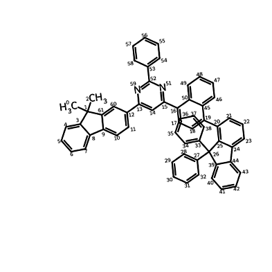 CC1(C)c2ccccc2-c2ccc(-c3cc(-c4ccc(-c5cccc6c5C(c5ccccc5)(c5ccccc5)c5ccccc5-6)c5ccccc45)nc(-c4ccccc4)n3)cc21